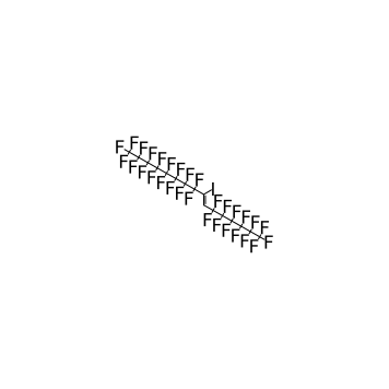 FC(F)(F)C(F)(F)C(F)(F)C(F)(F)C(F)(F)C(F)(F)C=C(I)C(F)(F)C(F)(F)C(F)(F)C(F)(F)C(F)(F)C(F)(F)C(F)(F)C(F)(F)F